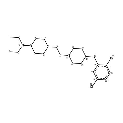 CCN(CC)[C@H]1CC[C@H](CCN2CCC(Cc3cc(Cl)ccc3Br)CC2)CC1